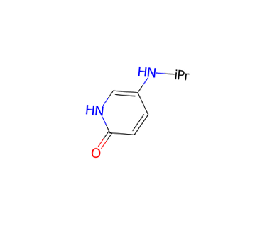 CC(C)Nc1ccc(=O)[nH]c1